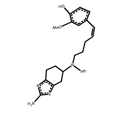 CCCN(CCC/C=C\c1ccc(O)c(OC)c1)C1CCc2nc(N)sc2C1